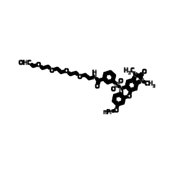 CCCOc1cccc(Oc2cc3c(cc2NS(=O)(=O)c2cccc(C(=O)NCCOCCOCCOCCOCC=O)c2)n(C)c(=O)n3C)c1